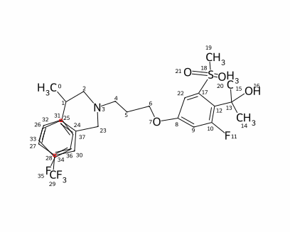 CC(CN(CCCOc1cc(F)c(C(C)(C)O)c(S(C)(=O)=O)c1)Cc1cccc(C(F)(F)F)c1)c1ccc(F)cc1